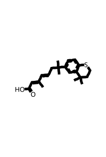 CC(/C=C/CC(C)(C)c1ccc2c(c1)C(C)(C)CCS2)=C\C(=O)O